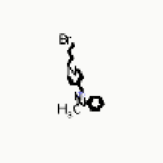 CN(/N=C/C1=CCN(CCCCBr)C=C1)c1ccccc1